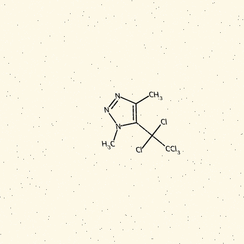 Cc1nnn(C)c1C(Cl)(Cl)C(Cl)(Cl)Cl